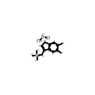 Cc1cc2c(cc1C)C(C[Si](C)(C)C)=C[CH]2.[Cl][Zr][Cl]